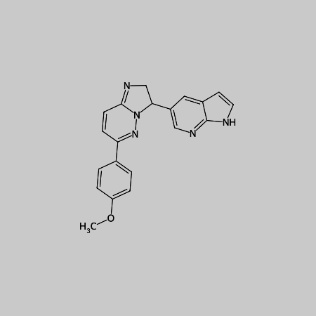 COc1ccc(C2=NN3C(=NCC3c3cnc4[nH]ccc4c3)C=C2)cc1